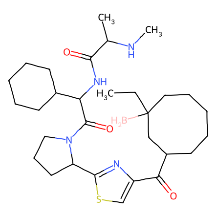 BC1(CC)CCCCCC(C(=O)c2csc(C3CCCN3C(=O)C(NC(=O)C(C)NC)C3CCCCC3)n2)C1